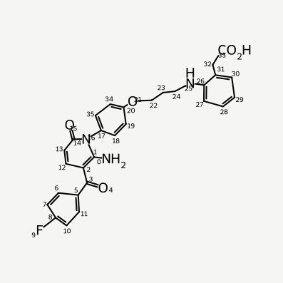 Nc1c(C(=O)c2ccc(F)cc2)ccc(=O)n1-c1ccc(OCCCNc2ccccc2CC(=O)O)cc1